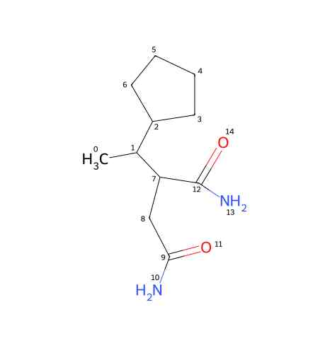 CC(C1CCCC1)C(CC(N)=O)C(N)=O